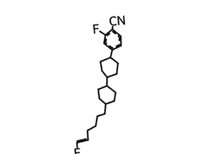 N#Cc1ccc(C2CCC(C3CCC(CCCCC=CF)CC3)CC2)cc1F